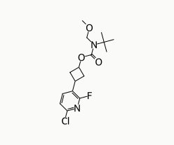 COCN(C(=O)OC1CC(c2ccc(Cl)nc2F)C1)C(C)(C)C